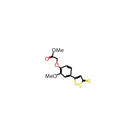 COC(=O)COc1ccc(-c2cc(=S)ss2)cc1OC